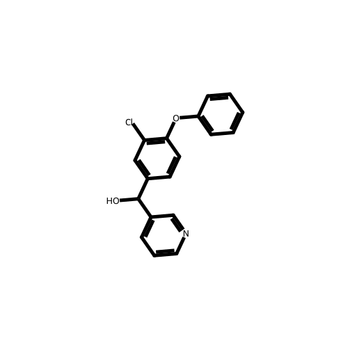 OC(c1cccnc1)c1ccc(Oc2ccccc2)c(Cl)c1